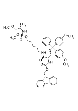 COCC(C)NP(=O)(OC)OCCCCCNC(=O)C(COC(c1ccccc1)(c1ccc(OC)cc1)c1ccc(OC)cc1)NC(=O)OCC1c2ccccc2-c2ccccc21